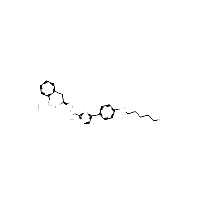 O=C(O)/C(Cc1ccccc1[N+](=O)[O-])=N\Nc1nc(-c2ccc(OCCCCCBr)cc2)cs1